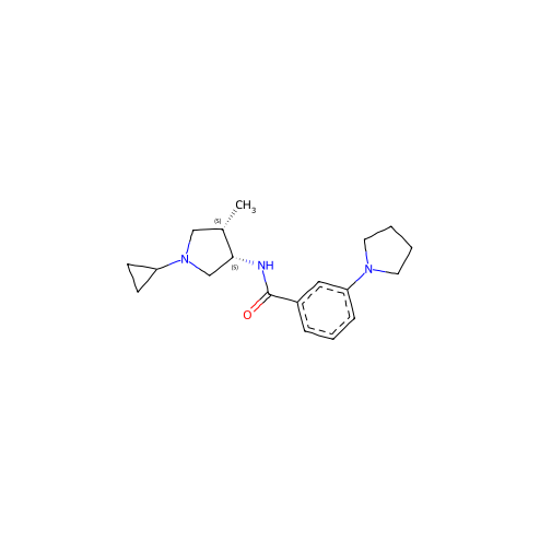 C[C@H]1CN(C2CC2)C[C@H]1NC(=O)c1cccc(N2CCCC2)c1